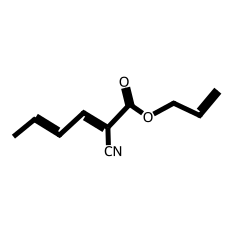 C=CCOC(=O)/C(C#N)=C/C=C/C